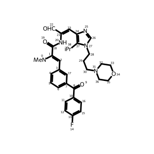 CN/C(=C\c1cccc(C(=O)c2ccc(F)cc2)c1)C(=O)N/C(C=O)=C\c1ncn(CCCN2CCOCC2)c1C(C)C